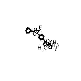 CC1(C)OB(c2ccc(C3OC(c4ccccc4)=NC3CF)cc2)OC1(C)C